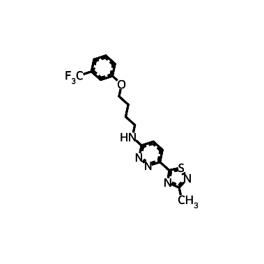 Cc1nsc(-c2ccc(NCCCCOc3cccc(C(F)(F)F)c3)nn2)n1